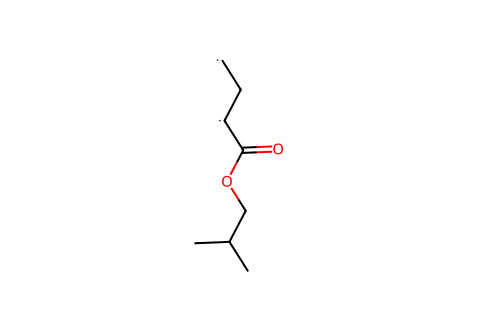 [CH2]C[CH]C(=O)OCC(C)C